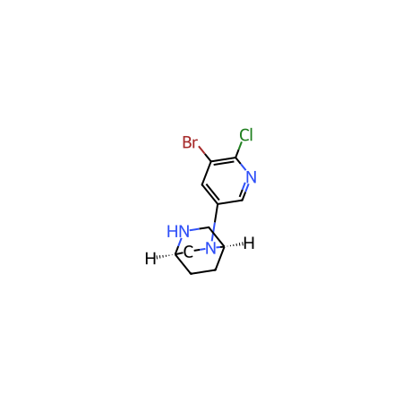 Clc1ncc(N2C[C@H]3CC[C@@H]2CN3)cc1Br